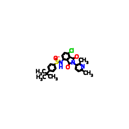 Cc1ccc(N2C(=O)c3c(Cl)ccc(N[S+]([O-])c4ccc(C(C)(C)C)cc4)c3C2=O)c(C)n1